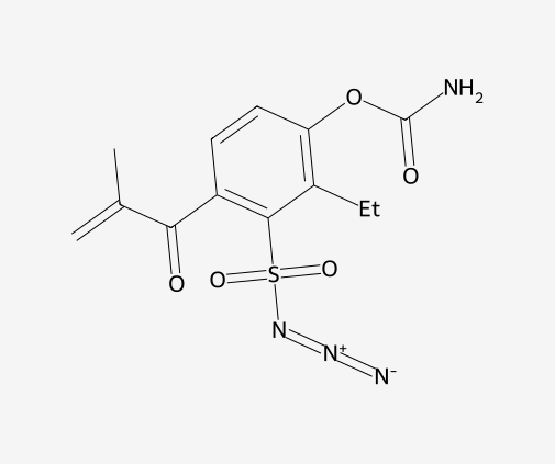 C=C(C)C(=O)c1ccc(OC(N)=O)c(CC)c1S(=O)(=O)N=[N+]=[N-]